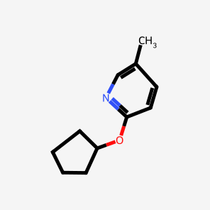 Cc1ccc(OC2CCCC2)nc1